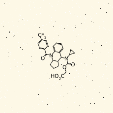 O=C(O)COC(=O)N(C1CC1)C1c2ccccc2N(C(=O)c2ccc(C(F)(F)F)cc2)C2CCCC21